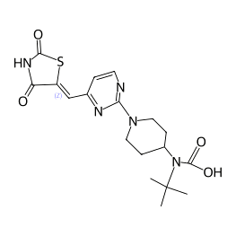 CC(C)(C)N(C(=O)O)C1CCN(c2nccc(/C=C3\SC(=O)NC3=O)n2)CC1